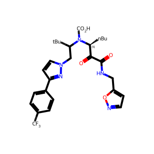 CCCC[C@@H](C(=O)C(=O)NCc1ccno1)N(C(=O)O)C(Cn1ccc(-c2ccc(C(F)(F)F)cc2)n1)C(C)(C)C